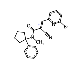 CN(C(=O)/C(C#N)=C/c1cccc(Br)n1)C1(c2ccccc2)CCCC1